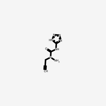 C#CCN(N)C(=O)Nc1nnn[nH]1